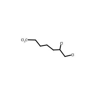 ClCC(Cl)[CH]CCCC(Cl)(Cl)Cl